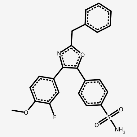 COc1ccc(-c2nc(Cc3ccccc3)oc2-c2ccc(S(N)(=O)=O)cc2)cc1F